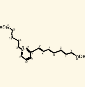 CCCCCCCCCCCCCCCCCc1ccc[n+](CCCCCCCCCCCCCC)c1